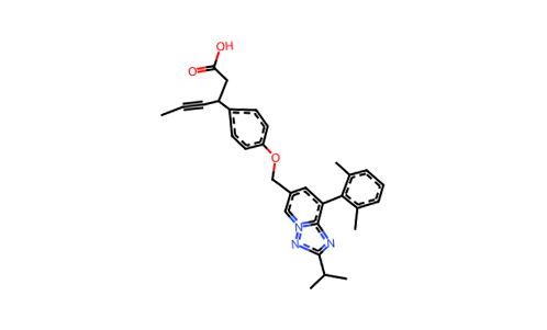 CC#CC(CC(=O)O)c1ccc(OCc2cc(-c3c(C)cccc3C)c3nc(C(C)C)nn3c2)cc1